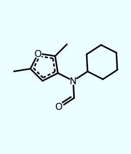 Cc1cc(N(C=O)C2CCCCC2)c(C)o1